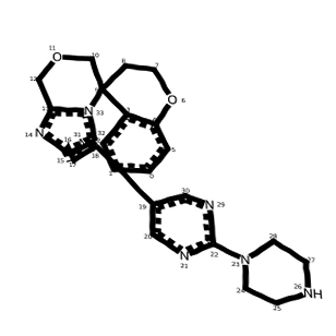 c1ccc2c(c1)OCCC21COCc2nc3ccc(-c4cnc(N5CCNCC5)nc4)nc3n21